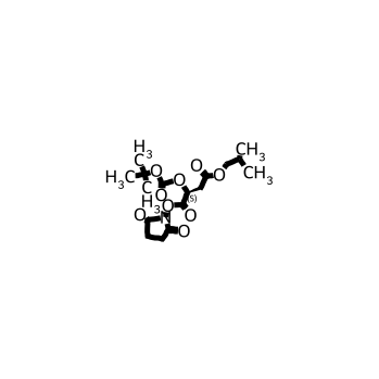 CC(C)COC(=O)C[C@H](OC(=O)OC(C)(C)C)C(=O)ON1C(=O)CCC1=O